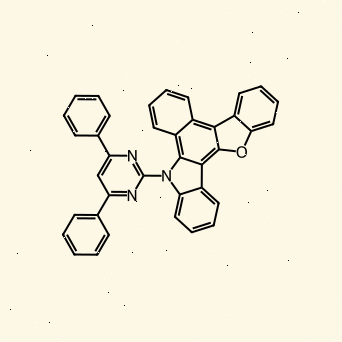 c1ccc(-c2cc(-c3ccccc3)nc(-n3c4ccccc4c4c5oc6ccccc6c5c5ccccc5c43)n2)cc1